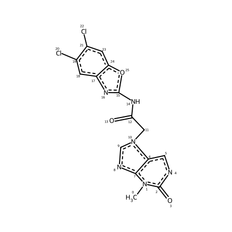 Cn1c(=O)ncc2c1ncn2CC(=O)Nc1nc2cc(Cl)c(Cl)cc2o1